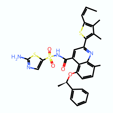 C/C=C\c1sc(-c2cc(C(=O)NS(=O)(=O)c3cnc(N)s3)c3c(O[C@H](C)c4ccccc4)ccc(C)c3n2)c(C)c1C